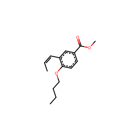 C/C=C\c1cc(C(=O)OC)ccc1OCCCC